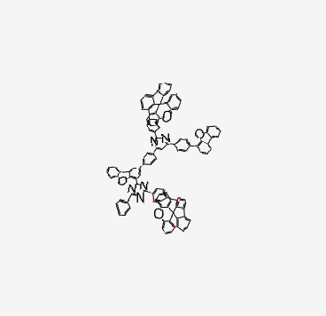 c1ccc(-c2nc(-c3ccc(-c4cccc5c4C4(c6ccccc6Oc6ccccc64)c4ccccc4-5)cc3)nc(-c3cc(-c4ccc(-c5cc(-c6ccc(-c7cccc8c7oc7ccccc78)cc6)nc(-c6ccc(-c7cccc8c7C7(c9ccccc9Oc9ccccc97)c7ccccc7-8)cc6)n5)cc4)cc4c3oc3ccccc34)n2)cc1